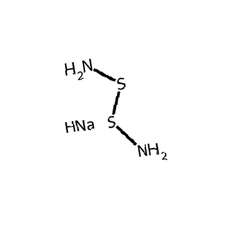 NSSN.[NaH]